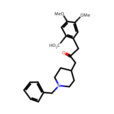 COc1cc(CC(=O)CC2CCN(Cc3ccccc3)CC2)c(C(=O)O)cc1OC